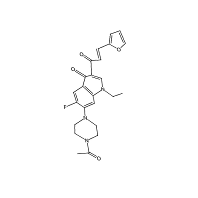 CCn1cc(C(=O)C=Cc2ccco2)c(=O)c2cc(F)c(N3CCN(C(C)=O)CC3)cc21